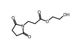 O=C(CCN1C(=O)CCC1=O)OCCO